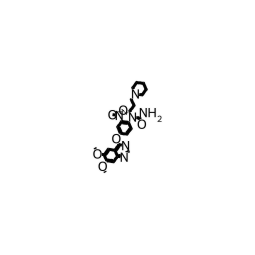 COc1cc2ncnc(Oc3ccc(N(CCCN4CCCCC4)C(N)=O)c([N+](=O)[O-])c3)c2cc1OC